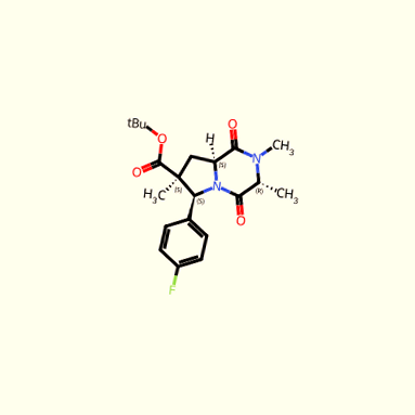 C[C@@H]1C(=O)N2[C@@H](c3ccc(F)cc3)[C@@](C)(C(=O)OC(C)(C)C)C[C@H]2C(=O)N1C